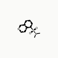 CN(C)S(=O)(=O)c1cccc2cnccc12